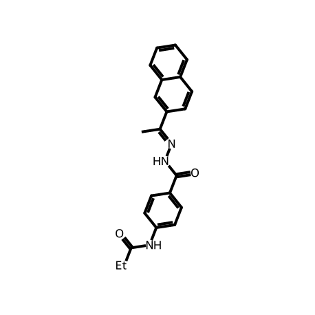 CCC(=O)Nc1ccc(C(=O)NN=C(C)c2ccc3ccccc3c2)cc1